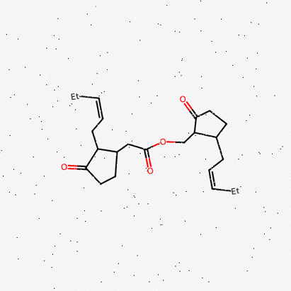 CC/C=C\CC1CCC(=O)C1COC(=O)CC1CCC(=O)C1C/C=C\CC